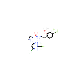 COc1cc(C(F)(F)F)ccc1CCNC(=O)[C@@H]1CCN1c1cc(Cl)nc(C(F)(F)F)n1